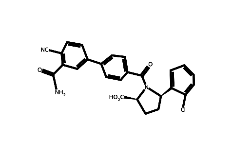 N#Cc1ccc(-c2ccc(C(=O)N3[C@@H](c4ccccc4Cl)CC[C@H]3C(=O)O)cc2)cc1C(N)=O